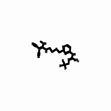 CNC(NCCSCc1nccc(NC(N)=NCC(F)(F)F)n1)=C(C#N)C#N